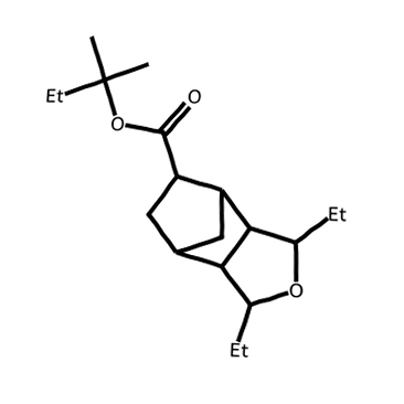 CCC1OC(CC)C2C3CC(CC3C(=O)OC(C)(C)CC)C12